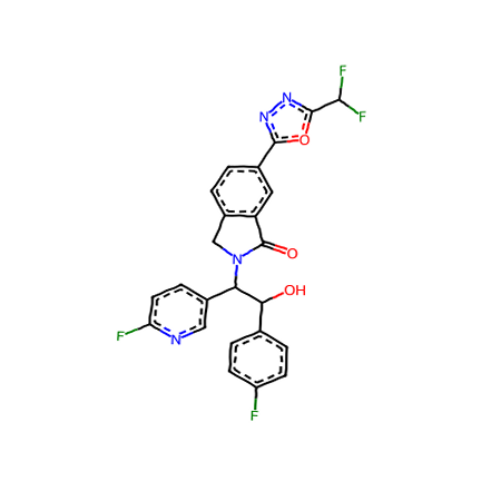 O=C1c2cc(-c3nnc(C(F)F)o3)ccc2CN1C(c1ccc(F)nc1)C(O)c1ccc(F)cc1